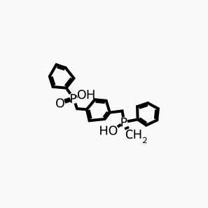 C=P(O)(Cc1ccc(CP(=O)(O)c2ccccc2)cc1)c1ccccc1